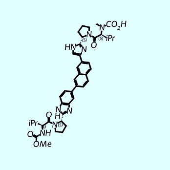 COC(=O)N[C@H](C(=O)N1CCC[C@H]1c1nc2cc(-c3ccc4ccc(-c5c[nH]c([C@@H]6CCCN6C(=O)[C@H](C(C)C)N(C)C(=O)O)n5)cc4c3)ccc2[nH]1)C(C)C